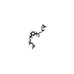 CC(CN1CC1C)OCNC(C)(C)c1cccc(C(C)(C)NCOC(C)CN2CC2C)c1